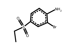 CCS(=O)(=O)c1ccc(N)c(Br)c1